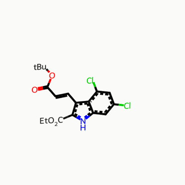 CCOC(=O)c1[nH]c2cc(Cl)cc(Cl)c2c1C=CC(=O)OC(C)(C)C